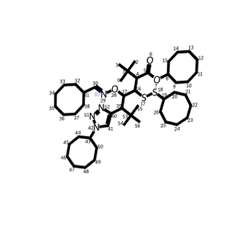 CC(C)(C)C(C(=O)OC1CCCCCCC1)C(SSC1CCCCCCC1)C(O/N=C/C1CCCCCCC1)C(c1cn(C2CCCCCCC2)nn1)C(C)(C)C